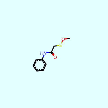 COSCC(=O)Nc1ccccc1